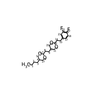 CCCCC1COC(CCC2COC(CCc3ccc(F)c(F)c3)OC2)OC1